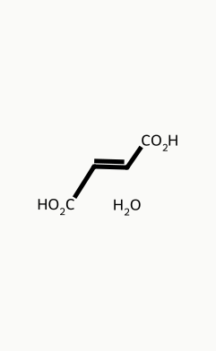 O.O=C(O)/C=C/C(=O)O